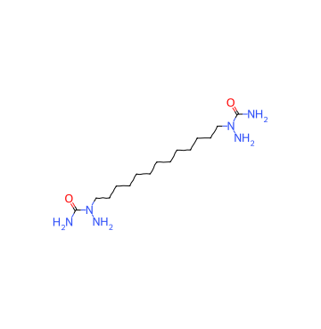 NC(=O)N(N)CCCCCCCCCCCCCN(N)C(N)=O